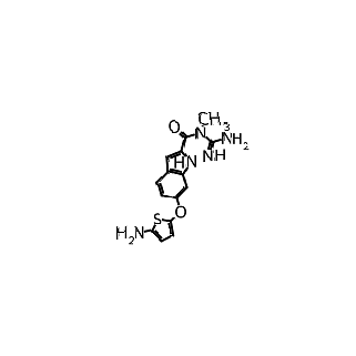 CN(C(=N)N)C(=O)c1cc2ccc(Oc3ccc(N)s3)cc2[nH]1